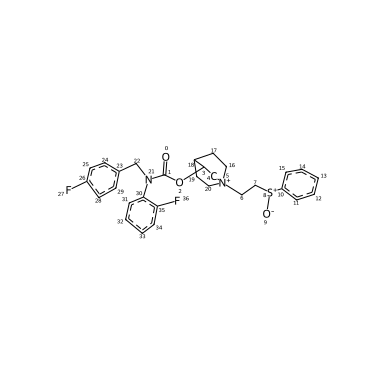 O=C(OC1C[N+]2(CC[S+]([O-])c3ccccc3)CCC1CC2)N(Cc1ccc(F)cc1)c1ccccc1F